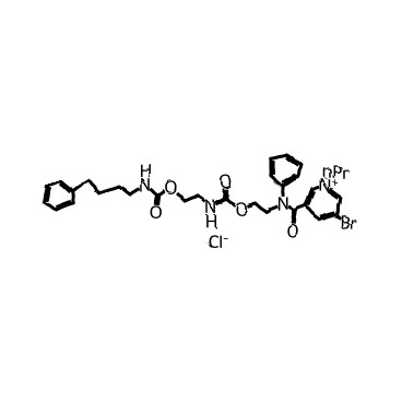 CCC[n+]1cc(Br)cc(C(=O)N(CCOC(=O)NCCOC(=O)NCCCCc2ccccc2)c2ccccc2)c1.[Cl-]